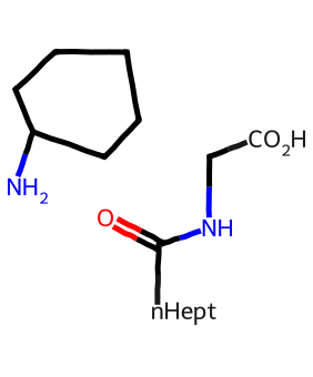 CCCCCCCC(=O)NCC(=O)O.NC1CCCCC1